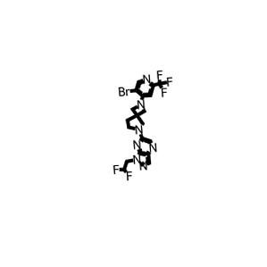 FC(F)Cn1ncc2ncc(N3CCC4(C3)CN(c3cc(C(F)(F)F)ncc3Br)C4)nc21